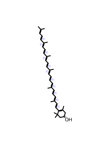 CC(C)=C/C=C/C(C)=C/C=C/C(C)=C/C=C/C(C)=C/C=C/C=C(C)/C=C/C=C(C)/C=C/C1=C(C)C[C@@H](O)CC1(C)C